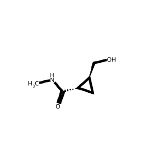 CNC(=O)[C@H]1C[C@@H]1CO